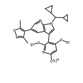 CCOc1cc(C(=O)O)nc(OCC)c1-c1cn(C(C2CC2)C2CC2)c2ncc(-c3c(C)noc3C)cc12